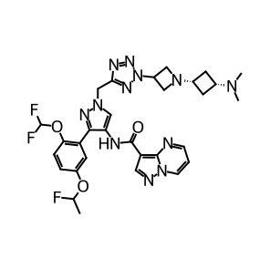 CC(F)Oc1ccc(OC(F)F)c(-c2nn(Cc3nnn(C4CN([C@H]5C[C@@H](N(C)C)C5)C4)n3)cc2NC(=O)c2cnn3cccnc23)c1